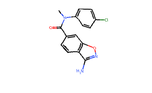 CN(C(=O)c1ccc2c(N)noc2c1)c1ccc(Cl)cc1